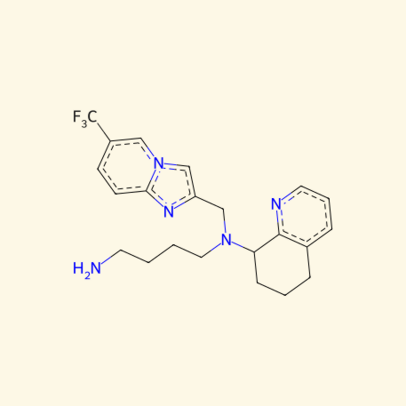 NCCCCN(Cc1cn2cc(C(F)(F)F)ccc2n1)C1CCCc2cccnc21